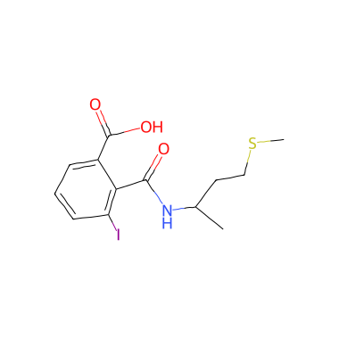 CSCCC(C)NC(=O)c1c(I)cccc1C(=O)O